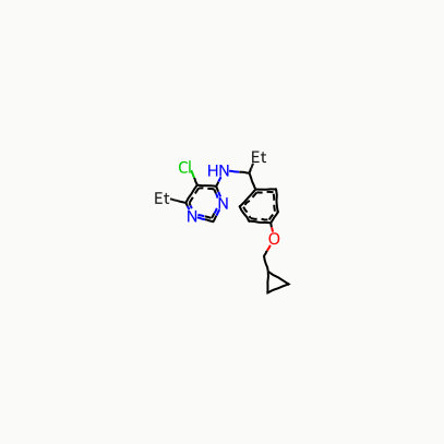 CCc1ncnc(NC(CC)c2ccc(OCC3CC3)cc2)c1Cl